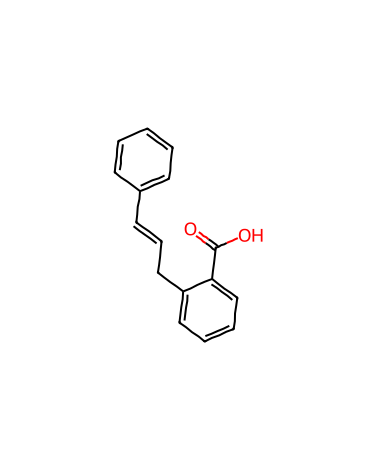 O=C(O)c1ccccc1CC=Cc1ccccc1